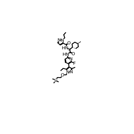 CCCn1nccc1C(=O)N[C@H](C(=O)Nc1ccc(-c2c(C)nn(COCC[Si](C)(C)C)c2CC)c(F)n1)[C@H]1CC[C@H](C)CC1